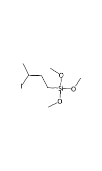 CO[Si](CCC(C)I)(OC)OC